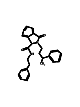 CC(CCN1C(=O)c2ccccc2C1C(=O)NCCc1ccccc1)c1ccccc1